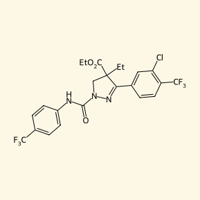 CCOC(=O)C1(CC)CN(C(=O)Nc2ccc(C(F)(F)F)cc2)N=C1c1ccc(C(F)(F)F)c(Cl)c1